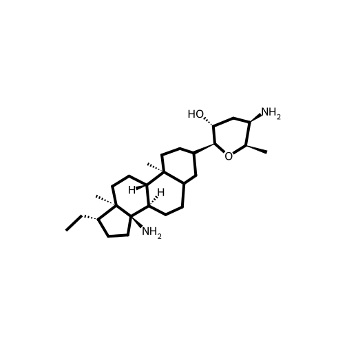 CC[C@H]1CC[C@@]2(N)[C@@H]3CCC4CC([C@@H]5O[C@H](C)[C@H](N)C[C@H]5O)CC[C@]4(C)[C@H]3CC[C@]12C